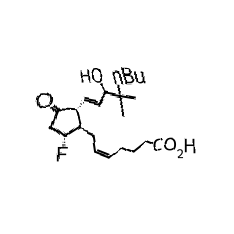 CCCCC(C)(C)[C@H](O)/C=C/[C@H]1C(=O)C[C@@H](F)[C@@H]1C/C=C\CCCC(=O)O